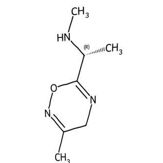 CN[C@H](C)C1=NCC(C)=NO1